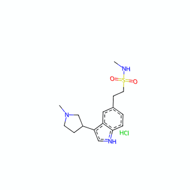 CNS(=O)(=O)CCc1ccc2[nH]cc(C3CCN(C)C3)c2c1.Cl